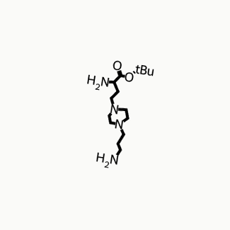 CC(C)(C)OC(=O)C(N)CCN1CCN(CCCN)CC1